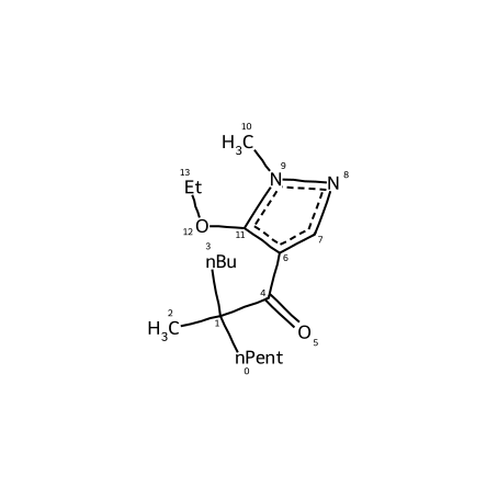 CCCCCC(C)(CCCC)C(=O)c1cnn(C)c1OCC